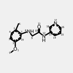 COc1ccc(C)c(NCC(=O)Nc2cccnc2)c1